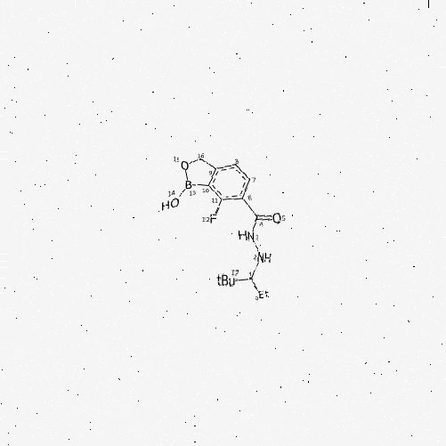 CCC(NNC(=O)c1ccc2c(c1F)B(O)OC2)C(C)(C)C